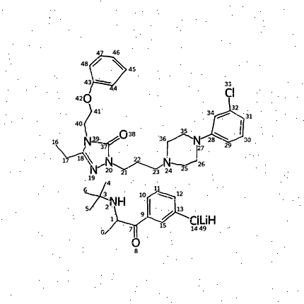 CC(NC(C)(C)C)C(=O)c1cccc(Cl)c1.CCc1nn(CCCN2CCN(c3cccc(Cl)c3)CC2)c(=O)n1CCOc1ccccc1.[LiH]